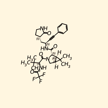 CC(C)(C)[C@H](NC(=O)C(F)(F)F)C(=O)N1C[C@H]2[C@@H]([C@H]1C(=O)N[C@H](C#Cc1ccccc1)C[C@@H]1CCNC1=O)C2(C)C